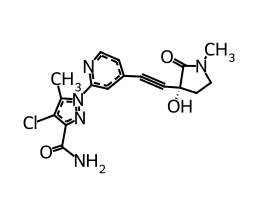 Cc1c(Cl)c(C(N)=O)nn1-c1cc(C#C[C@]2(O)CCN(C)C2=O)ccn1